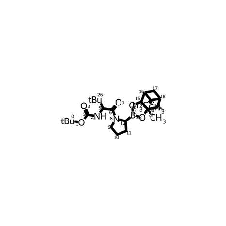 CC(C)(C)OC(=O)NC(C(=O)N1CCCC1B1OC2C3CC(C[C@]2(C)O1)C3(C)C)C(C)(C)C